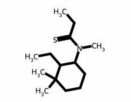 CCC(=S)N(C)C1CCCC(C)(C)C1CC